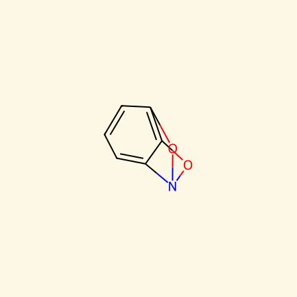 c1cc2c3on(c3c1)O2